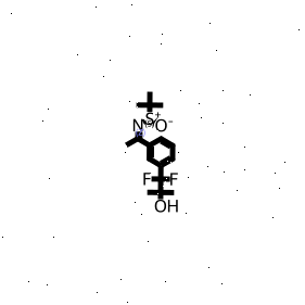 C/C(=N/[S@+]([O-])C(C)(C)C)c1cccc(C(F)(F)C(C)(C)O)c1